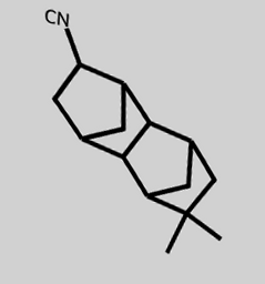 [C-]#[N+]C1CC2CC1C1C3CC(C21)C(C)(C)C3